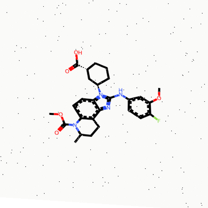 COC(=O)N1c2ccc3c(nc(Nc4ccc(F)c(OC)c4)n3[C@@H]3CCC[C@@H](C(=O)O)C3)c2CCC1C